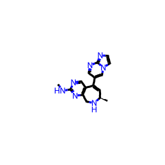 CNc1ncc2c(n1)CN[C@H](C)C=C2c1cnc2nccn2c1